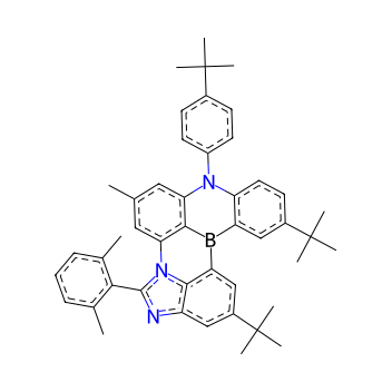 Cc1cc2c3c(c1)-n1c(-c4c(C)cccc4C)nc4cc(C(C)(C)C)cc(c41)B3c1cc(C(C)(C)C)ccc1N2c1ccc(C(C)(C)C)cc1